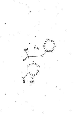 CC(Oc1ccccc1)(C(N)=O)c1ccc2[nH]nnc2c1